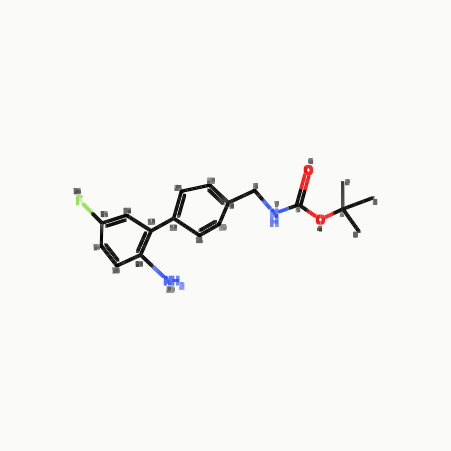 CC(C)(C)OC(=O)NCc1ccc(-c2cc(F)ccc2N)cc1